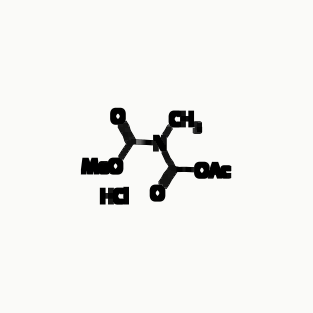 COC(=O)N(C)C(=O)OC(C)=O.Cl